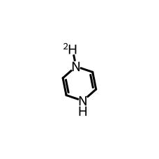 [2H]N1C=CNC=C1